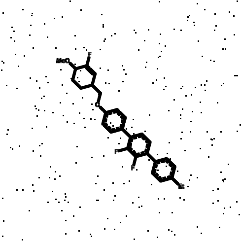 CCc1ccc(-c2ccc(-c3ccc(OCC4C=C(F)C(OC)CC4)cc3)c(F)c2F)cc1